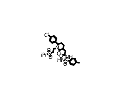 Cc1ccc(S(=N)(=O)NC(=O)CC2CCC(c3ccc(Cl)cc3)N(CCS(=O)(=O)C(C)C)C2=O)cc1